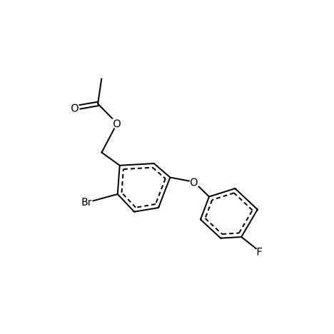 CC(=O)OCc1cc(Oc2ccc(F)cc2)ccc1Br